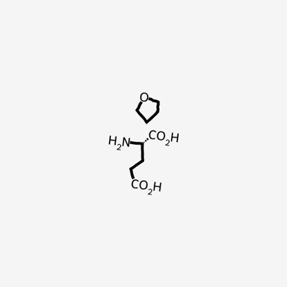 C1CCOC1.N[C@@H](CCC(=O)O)C(=O)O